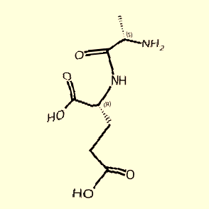 C[C@H](N)C(=O)N[C@H](CCC(=O)O)C(=O)O